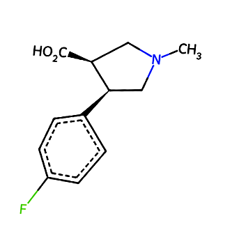 CN1C[C@H](C(=O)O)[C@H](c2ccc(F)cc2)C1